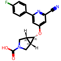 N#Cc1cc(O[C@@H]2[C@@H]3CN(C(=O)O)C[C@@H]32)cc(-c2ccc(F)cc2)n1